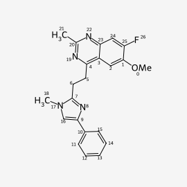 COc1cc2c(CCc3nc(-c4ccccc4)cn3C)nc(C)nc2cc1F